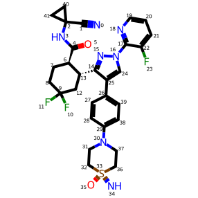 N#CC1(NC(=O)[C@@H]2CCC(F)(F)C[C@H]2c2nn(-c3ncccc3F)cc2-c2ccc(N3CCS(=N)(=O)CC3)cc2)CC1